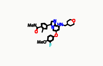 CNC(=O)c1ccc(-c2cnc3c(NCC4CCOCC4)cc(Oc4ccc(OC)c(F)c4)cn23)cc1C